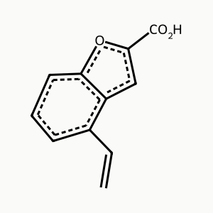 C=Cc1cccc2oc(C(=O)O)cc12